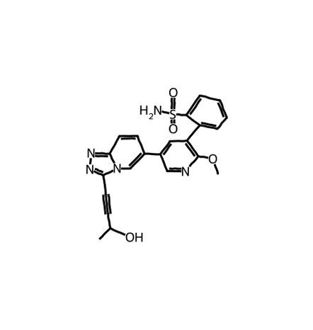 COc1ncc(-c2ccc3nnc(C#CC(C)O)n3c2)cc1-c1ccccc1S(N)(=O)=O